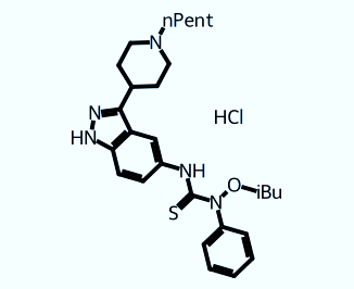 CCCCCN1CCC(c2n[nH]c3ccc(NC(=S)N(OC(C)CC)c4ccccc4)cc23)CC1.Cl